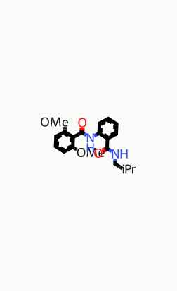 COc1cccc(OC)c1C(=O)Nc1ccccc1C(=O)NCC(C)C